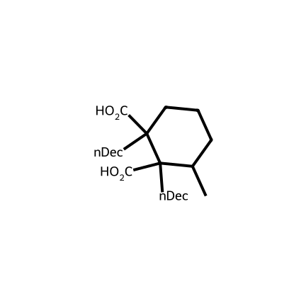 CCCCCCCCCCC1(C(=O)O)CCCC(C)C1(CCCCCCCCCC)C(=O)O